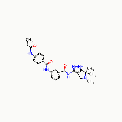 C=CC(=O)Nc1ccc(C(=O)Nc2cccc(C(=O)Nc3n[nH]c4c3CN(C)C4(C)C)c2)cc1